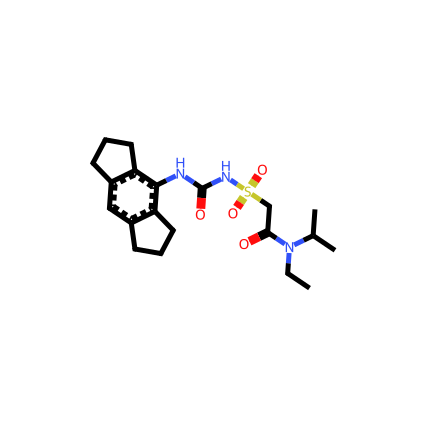 CCN(C(=O)CS(=O)(=O)NC(=O)Nc1c2c(cc3c1CCC3)CCC2)C(C)C